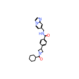 O=C(NCc1ccn2ccnc2c1)c1ccc(C2CN(C(=O)C3CCCCC3)C2)cc1